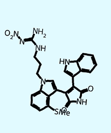 CSc1cccc2c1c(C1=C(c3c[nH]c4ccccc34)C(=O)NC1=O)cn2CCCNC(N)=N[N+](=O)[O-]